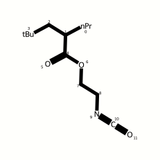 CCCC(CC(C)(C)C)C(=O)OCCN=C=O